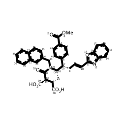 COC(=O)c1ccc([C@H](CC=Cc2nc3ccccc3o2)[C@H](C)N(Cc2ccc3ccccc3c2)C(=O)[C@@H](CC(=O)O)C(=O)O)cc1